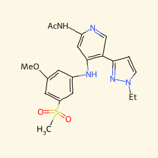 CCn1ccc(-c2cnc(NC(C)=O)cc2Nc2cc(OC)cc(S(C)(=O)=O)c2)n1